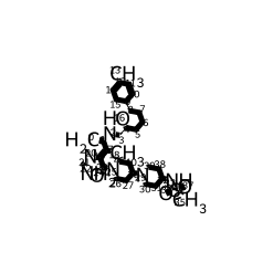 C=C(NC[C@H]1CCC[C@@H](C2C=CC(C)=CC2)O1)/C(C)=C(\N=C/N)C(=O)N1CCC(N2CCC(NS(C)(=O)=O)CC2)CC1